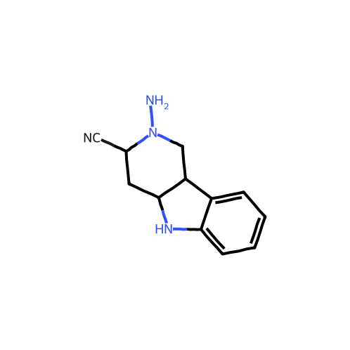 N#CC1CC2Nc3ccccc3C2CN1N